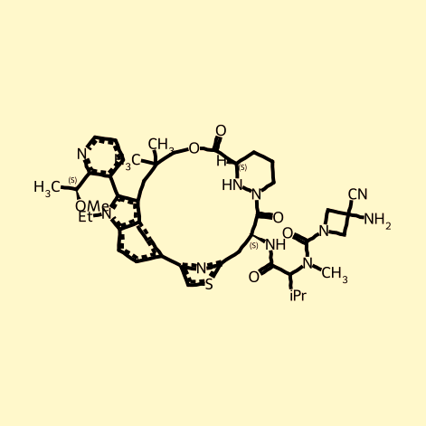 CCn1c(-c2cccnc2[C@H](C)OC)c2c3cc(ccc31)-c1csc(n1)C[C@H](NC(=O)C(C(C)C)N(C)C(=O)N1CC(N)(C#N)C1)C(=O)N1CCC[C@H](N1)C(=O)OCC(C)(C)C2